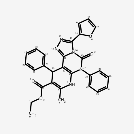 CCOC(=O)C1=C(C)Nc2c(c3nnc(-c4ccco4)n3c(=O)n2-c2ccccc2)C1c1ccccc1